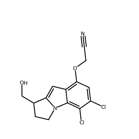 N#CCOc1cc(Cl)c(Cl)c2c1cc1n2CCC1CO